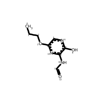 CCCOc1cnc(O)c(NC=O)n1